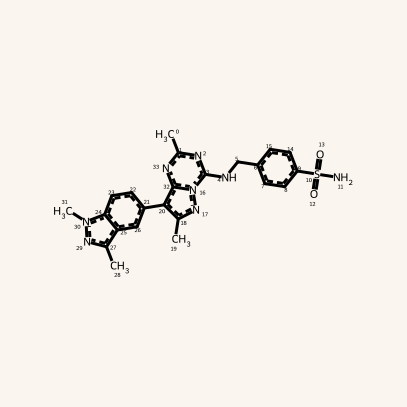 Cc1nc(NCc2ccc(S(N)(=O)=O)cc2)n2nc(C)c(-c3ccc4c(c3)c(C)nn4C)c2n1